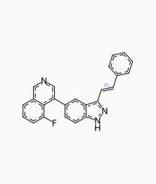 Fc1cccc2cncc(-c3ccc4[nH]nc(/C=C/c5ccccc5)c4c3)c12